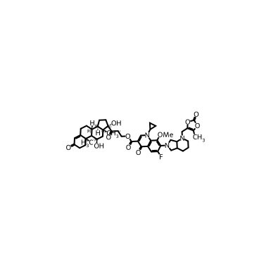 COc1c(N2CC3CCCN(Cc4oc(=O)oc4C)C3C2)c(F)cc2c(=O)c(C(=O)OC[CH]C(=O)[C@]3(O)CC[C@@H]4[C@H]5CCC6=CC(=O)CC[C@@]6(C)C5[C@H](O)C[C@]43C)cn(C3CC3)c12